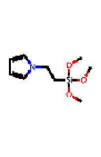 CO[Si](CCn1cccc1)(OC)OC